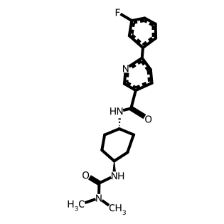 CN(C)C(=O)N[C@H]1CC[C@H](NC(=O)c2ccc(-c3cccc(F)c3)nc2)CC1